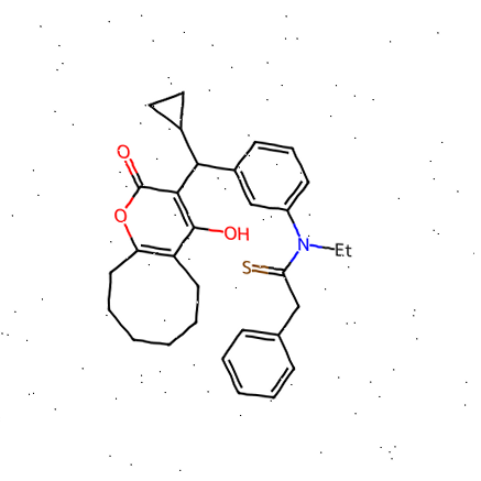 CCN(C(=S)Cc1ccccc1)c1cccc(C(c2c(O)c3c(oc2=O)CCCCCC3)C2CC2)c1